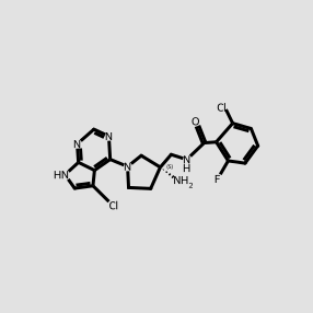 N[C@]1(CNC(=O)c2c(F)cccc2Cl)CCN(c2ncnc3[nH]cc(Cl)c23)C1